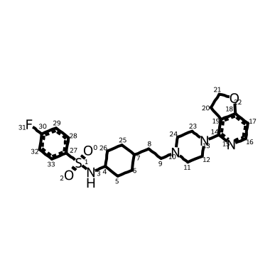 O=S(=O)(NC1CCC(CCN2CCN(c3nccc4c3CCO4)CC2)CC1)c1ccc(F)cc1